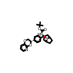 CC(C)(C)OC(=O)NC1CC2CCC(C1)N2Cc1ccc([C@H]2COc3cccnc3O2)cc1